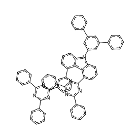 c1ccc(-c2cc(-c3ccccc3)cc(-n3c4cccc(-c5cccc(-c6nc(-c7ccccc7)nc(-c7ccccc7)n6)c5)c4c4c(-c5nc(-c6ccccc6)nc(-c6ccccc6)n5)cccc43)c2)cc1